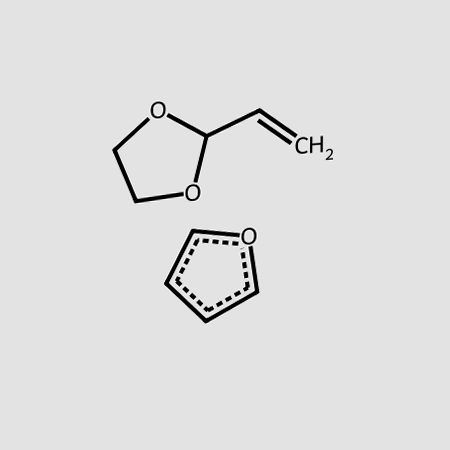 C=CC1OCCO1.c1ccoc1